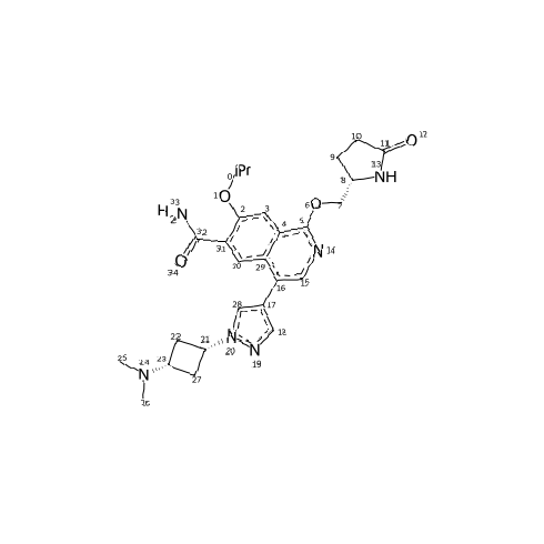 CC(C)Oc1cc2c(OC[C@@H]3CCC(=O)N3)ncc(-c3cnn([C@H]4C[C@@H](N(C)C)C4)c3)c2cc1C(N)=O